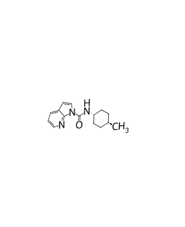 C[C@H]1CC[C@H](NC(=O)n2ccc3cccnc32)CC1